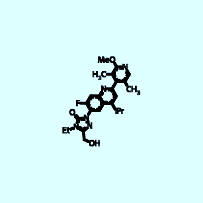 CCn1c(CO)nn(-c2cc3c(C(C)C)cc(-c4c(C)cnc(OC)c4C)nc3cc2F)c1=O